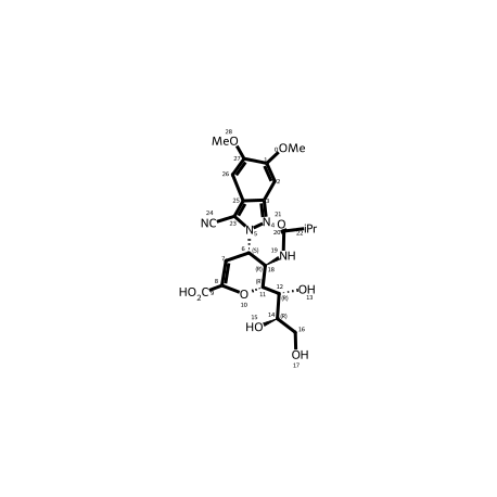 COc1cc2nn([C@H]3C=C(C(=O)O)O[C@@H]([C@H](O)[C@H](O)CO)[C@@H]3NC(=O)C(C)C)c(C#N)c2cc1OC